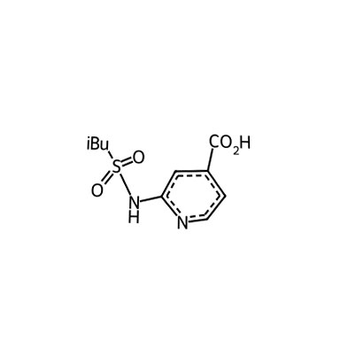 CCC(C)S(=O)(=O)Nc1cc(C(=O)O)ccn1